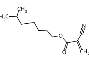 C=C(C#N)C(=O)OCCCCCC(C)C